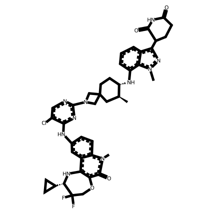 C[C@H]1CC2(CC[C@@H]1Nc1cccc3c(C4CCC(=O)NC4=O)nn(C)c13)CN(c1ncc(Cl)c(Nc3ccc4c(c3)c3c(c(=O)n4C)OCC(F)(F)[C@H](C4CC4)N3)n1)C2